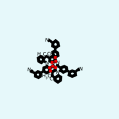 CC1(C)c2ccccc2N(c2cc(-c3cccc(C#N)c3)ccc2-c2nc(-c3ccc(-c4cccc(C#N)c4)cc3)nc(-c3ccc(-c4cccc(C#N)c4)cc3N3c4ccccc4C(C)(C)c4ccccc43)n2)c2ccccc21